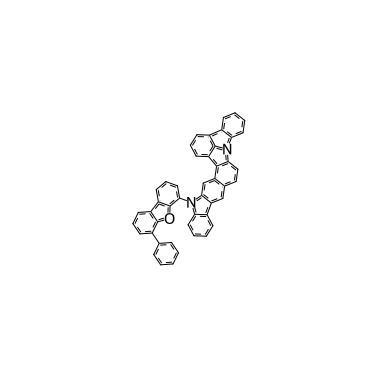 c1ccc(-c2cccc3c2oc2c(-n4c5ccccc5c5cc6ccc7c(c6cc54)c4cccc5c6ccccc6n7c54)cccc23)cc1